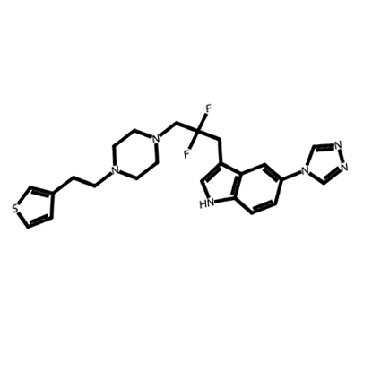 FC(F)(Cc1c[nH]c2ccc(-n3cnnc3)cc12)CN1CCN(CCc2ccsc2)CC1